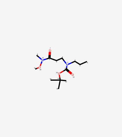 CCCN(CCC(=O)N(C)OC)C(=O)OC(C)(C)C